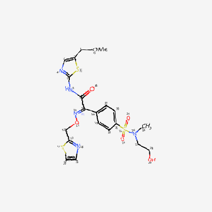 COCc1cnc(NC(=O)/C(=N/OCc2nccs2)c2ccc(S(=O)(=O)N(C)CCO)cc2)s1